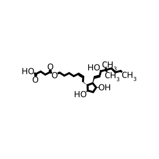 CCCCC(C)(C)[C@H](O)/C=C/[C@@H]1[C@@H](C/C=C\CCCCOC(=O)CCC(=O)O)[C@@H](O)C[C@H]1O